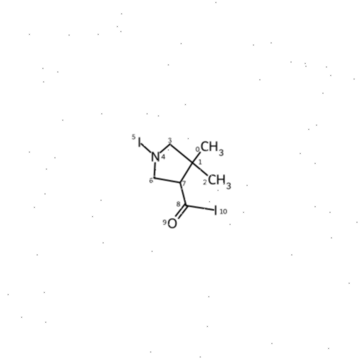 CC1(C)CN(I)CC1C(=O)I